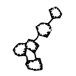 c1ccc(-c2ccc(-c3cc4c5c(cccc5c3)-c3ccccc3-4)cn2)cc1